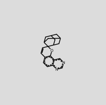 C1=CC2(Oc3c1ccc1ncncc31)C1CC3CC(C1)CC2C3